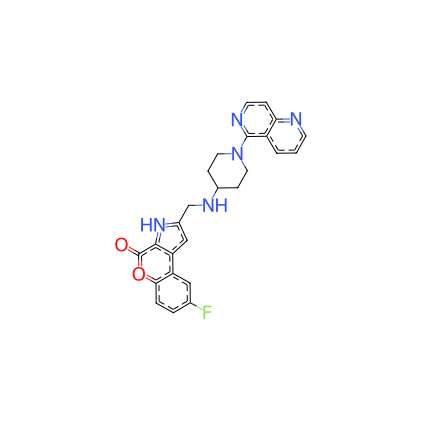 O=c1oc2ccc(F)cc2c2cc(CNC3CCN(c4nccc5ncccc45)CC3)[nH]c12